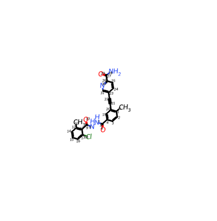 Cc1ccc(C(=O)NNC(=O)c2c(C)cccc2Cl)cc1C#Cc1ccc(C(N)=O)nc1